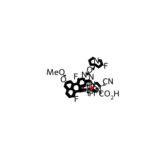 COCOc1cc(-c2c(F)cc3c(N4CCN(C(=O)O)[C@@H](CC#N)C4)nc(OC[C@@]45CCCN4C[C@H](F)C5)nc3c2F)c2c(C#C[Si](C(C)C)(C(C)C)C(C)C)c(F)ccc2c1